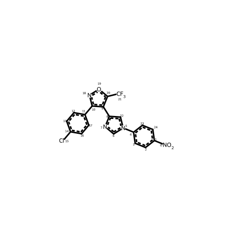 O=[N+]([O-])c1ccc(-n2cnc(-c3c(-c4ccc(Cl)cc4)noc3C(F)(F)F)c2)cc1